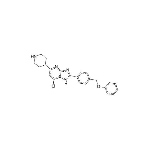 Clc1cc(C2CCNCC2)nc2nc(-c3ccc(COc4ccccc4)cc3)[nH]c12